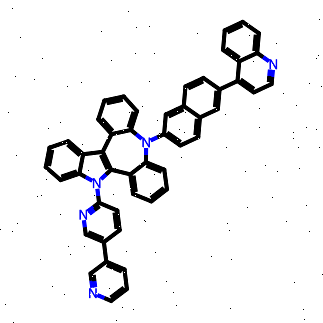 c1cncc(-c2ccc(-n3c4c(c5ccccc53)-c3ccccc3N(c3ccc5cc(-c6ccnc7ccccc67)ccc5c3)c3ccccc3-4)nc2)c1